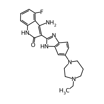 CCN1CCCN(c2ccc3nc(-c4c(N)c5c(F)cccc5[nH]c4=O)[nH]c3c2)CC1